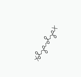 CC(C)(C)COC(=O)CCC(=O)OCCOC(=O)CCC(=O)OC(C)(C)C